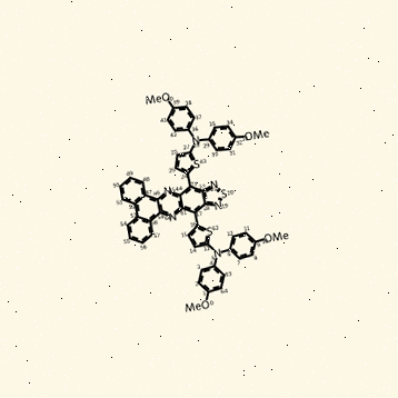 COc1ccc(N(c2ccc(OC)cc2)c2ccc(-c3c4nsnc4c(-c4ccc(N(c5ccc(OC)cc5)c5ccc(OC)cc5)s4)c4nc5c6ccccc6c6ccccc6c5nc34)s2)cc1